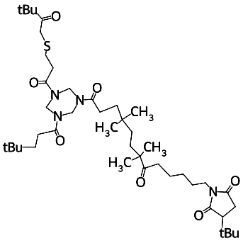 CC(C)(C)CCC(=O)N1CN(C(=O)CCSCC(=O)C(C)(C)C)CN(C(=O)CCC(C)(C)CCC(C)(C)C(=O)CCCCCN2C(=O)CC(C(C)(C)C)C2=O)C1